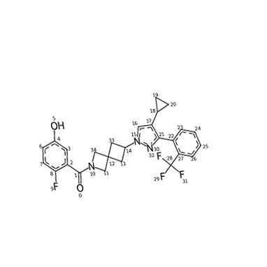 O=C(c1cc(O)ccc1F)N1CC2(CC(n3cc(C4CC4)c(-c4ccccc4C(F)(F)F)n3)C2)C1